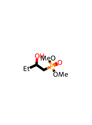 CCC(O)CP(=O)(OC)OC